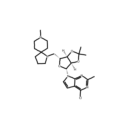 Cc1nc(Cl)c2ccn([C@@H]3O[C@H](CN4CCCC45CCN(C)CC5)[C@H]4OC(C)(C)O[C@H]43)c2n1